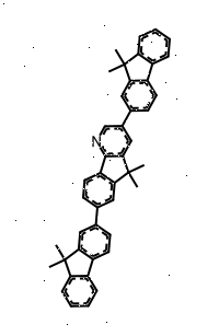 CC1(C)c2ccccc2-c2ccc(-c3ccc4c(c3)C(C)(C)c3cc(-c5ccc6c(c5)C(C)(C)c5ccccc5-6)cnc3-4)cc21